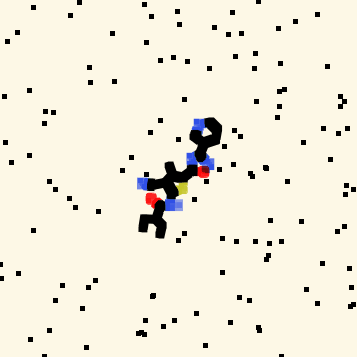 CCC(CC)C(=O)Nc1sc(-c2nc(-c3cccnc3)no2)c(C)c1C#N